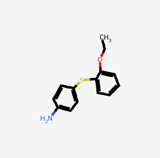 CCOc1ccccc1Sc1ccc(N)cc1